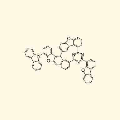 c1ccc(-c2nc(-c3cccc4c3oc3ccccc34)nc(-c3cccc4oc5ccc(-c6cccc7oc8c(-n9c%10ccccc%10c%10ccccc%109)cccc8c67)cc5c34)n2)cc1